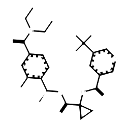 CCN(CC)C(=O)c1ccc([C@H](C)NC(=O)C2(NC(=O)c3cncc(C(F)(F)F)c3)CC2)c(Cl)c1